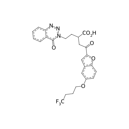 O=C(CC(CCn1nnc2ccccc2c1=O)C(=O)O)c1cc2cc(OCCCC(F)(F)F)ccc2o1